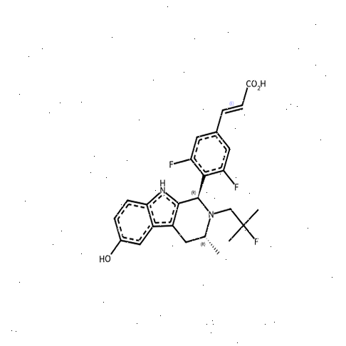 C[C@@H]1Cc2c([nH]c3ccc(O)cc23)[C@@H](c2c(F)cc(/C=C/C(=O)O)cc2F)N1CC(C)(C)F